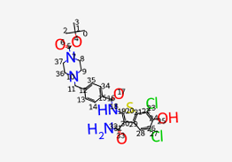 CC(C)(C)OC(=O)N1CCN(Cc2ccc(C(=O)Nc3sc4c(Cl)c(O)c(Cl)cc4c3C(N)=O)cc2)CC1